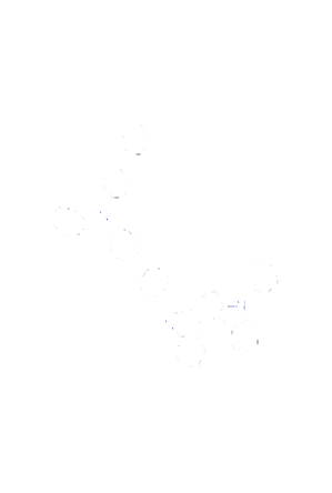 c1ccc(-c2ccc(N(c3ccccc3)c3ccc(-c4ccc(-c5nc6ccccc6c6c5ccc5c6c6ccccc6n5-c5ccccc5)cc4)cc3)cc2)cc1